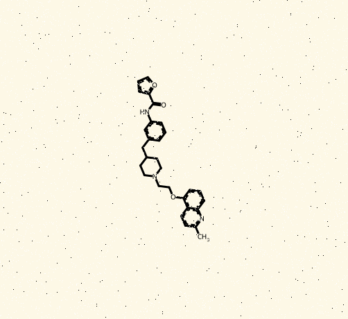 Cc1ccc2c(OCCN3CCC(Cc4cccc(NC(=O)c5ccco5)c4)CC3)cccc2n1